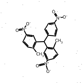 Cc1ccc([N+](=O)[O-])cc1C(c1ccc([N+](=O)[O-])cc1)c1cc([N+](=O)[O-])ccc1C